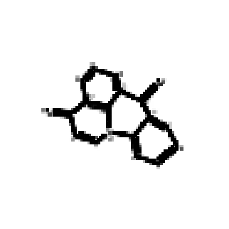 O=c1ccn2c3ccccc3c(=O)c3cccc1c32